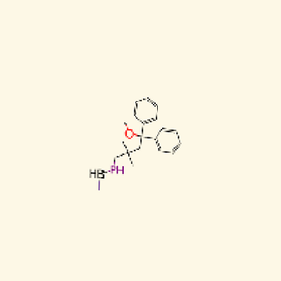 COC(CC(C)(C)CPBI)(c1ccccc1)c1ccccc1